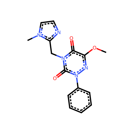 COc1nn(-c2ccccc2)c(=O)n(Cc2nccn2C)c1=O